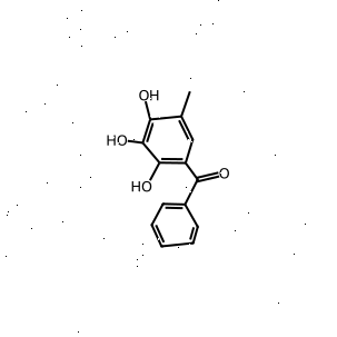 Cc1cc(C(=O)c2ccccc2)c(O)c(O)c1O